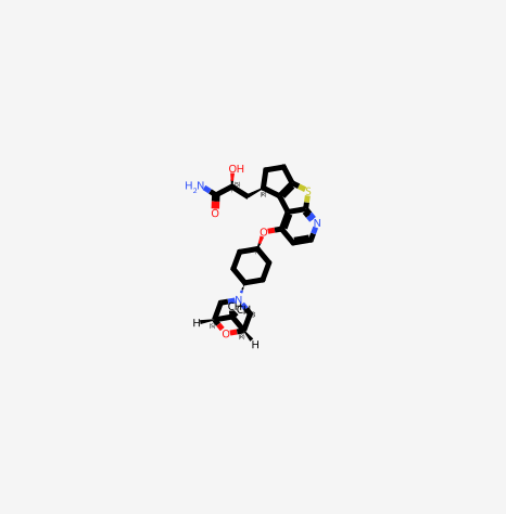 CC1(C)[C@@H]2CN([C@H]3CC[C@H](Oc4ccnc5sc6c(c45)[C@@H](C[C@H](O)C(N)=O)CC6)CC3)C[C@H]1O2